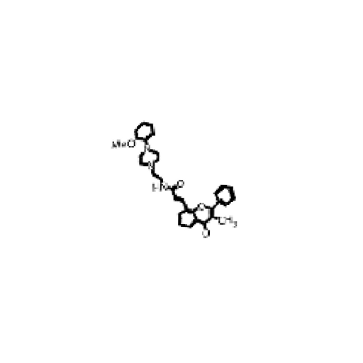 COc1ccccc1N1CCN(CCNC(=O)/C=C/c2cccc3c(=O)c(C)c(-c4ccccc4)oc23)CC1